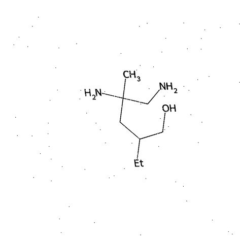 CCC(CO)CC(C)(N)CN